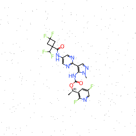 C[C@@H](OC(=O)Nc1c(-c2ncc(NC(=O)C3(C(F)F)CC(F)(F)C3)cn2)cnn1C)c1cc(F)cnc1F